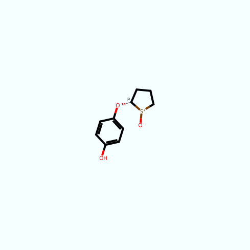 [O-][S+]1CCC[C@H]1Oc1ccc(O)cc1